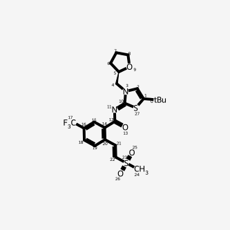 CC(C)(C)c1cn(C[C@H]2CCCO2)/c(=N/C(=O)c2cc(C(F)(F)F)ccc2/C=C/S(C)(=O)=O)s1